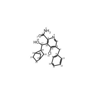 NC(=O)c1ncc(Cc2ccccc2)c(Cl)c1C(O)C1CC2CCC1C2